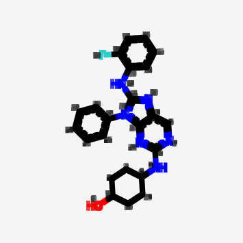 OC1CCC(Nc2ncc3nc(Nc4ccccc4F)n(-c4ccccc4)c3n2)CC1